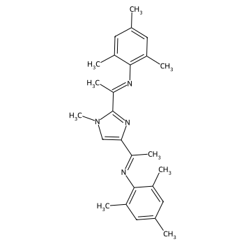 C/C(=N\c1c(C)cc(C)cc1C)c1cn(C)c(/C(C)=N/c2c(C)cc(C)cc2C)n1